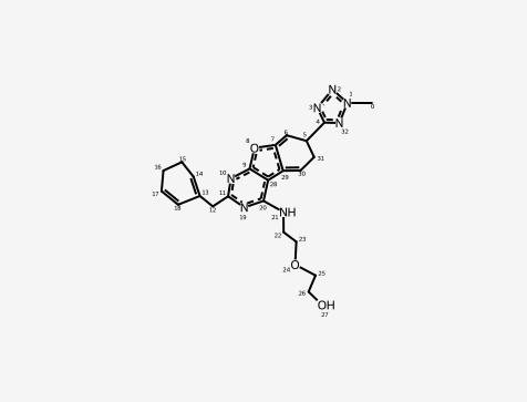 Cn1nnc(C2C=c3oc4nc(CC5=CCCC=C5)nc(NCCOCCO)c4c3=CC2)n1